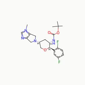 Cn1cnc2c1CN([C@H]1CO[C@H](c3cc(F)ccc3F)[C@@H](NC(=O)OC(C)(C)C)C1)C2